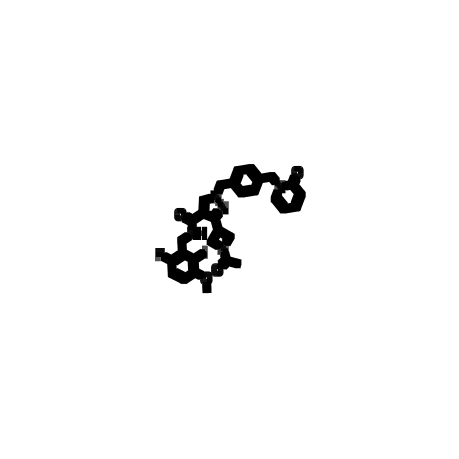 COc1ccc(F)c(CNC(=O)c2cn(Cc3ccc(Cn4ccccc4=O)cc3)nc2C2CN(C(C)=O)C2)c1I